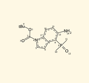 CC(C)(C)OC(=O)n1ccc2c(P(C)(C)=O)c(N)ccc21